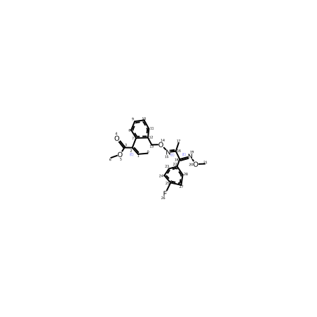 C/C=C(/C(=O)OC)c1ccccc1CO/N=C(C)/C(=N/OC)c1ccc(F)cc1